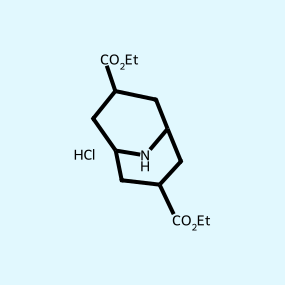 CCOC(=O)C1CC2CC(C(=O)OCC)CC(C1)N2.Cl